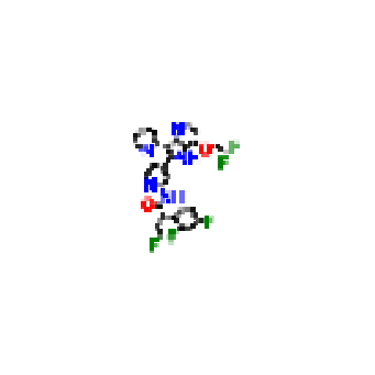 O=C(Nc1cc(-c2[nH]c3c(OCC(F)F)ccnc3c2-c2ccccn2)ccn1)C(CC(F)F)c1ccc(F)cc1